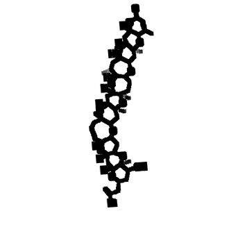 C=C(CC)C[C@@H]1C[C@H](O)[C@]2(C)OC3CC4OC5C[C@]6(C)O[C@]7(C)CCC8OC9C[C@]%10(C)OC%11C(C)=CC(=O)O[C@H]%11C[C@H]%10O[C@H]9C[C@@H](C)[C@H]8O[C@H]7C[C@H]6O[C@@]5(C)C/C=C\[C@H]4O[C@H]3C[C@H]2O1